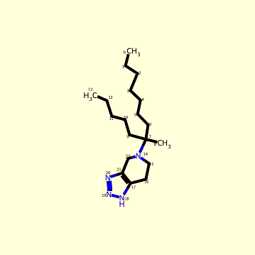 CCCCCCCC(C)(CCCCC)N1CCc2[nH]nnc2C1